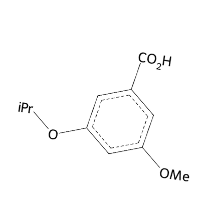 COc1cc(OC(C)C)cc(C(=O)O)c1